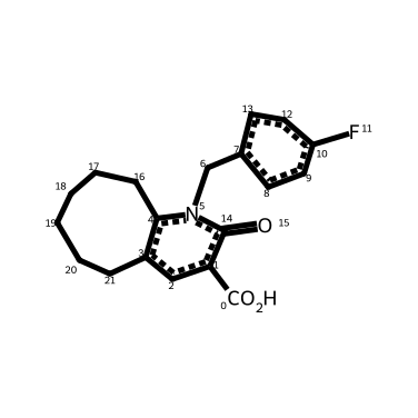 O=C(O)c1cc2c(n(Cc3ccc(F)cc3)c1=O)CCCCCC2